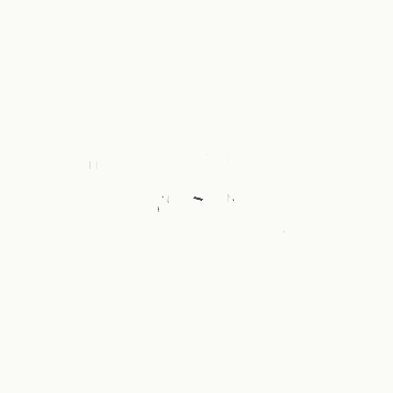 CCCCCCCC(CCCCC)NCCC#CCCNC(=O)C(CCCCC)CCCCCC